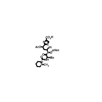 CCCCCCON(C(=O)C(NC(=O)[C@H]1CCCCN1C)C(C)CC)C(CC(OC(C)=O)c1nc(C(=O)O)cs1)C(C)C